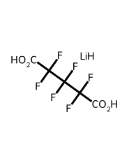 O=C(O)C(F)(F)C(F)(F)C(F)(F)C(=O)O.[LiH]